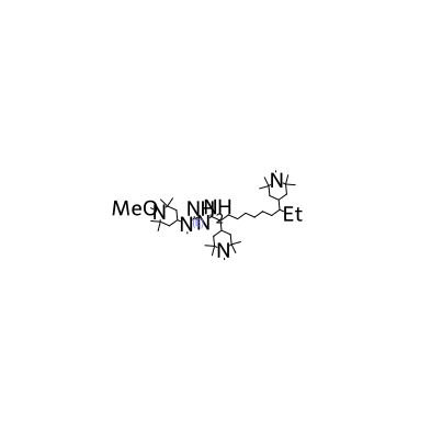 CCC(CCCCCCC(C(=N)/N=C(\N)N(C)C1CC(C)(C)N(OC)C(C)(C)C1)C1CC(C)(C)N(C)C(C)(C)C1)C1CC(C)(C)N(C)C(C)(C)C1